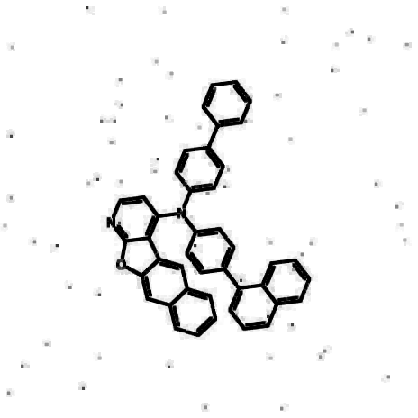 c1ccc(-c2ccc(N(c3ccc(-c4cccc5ccccc45)cc3)c3ccnc4oc5cc6ccccc6cc5c34)cc2)cc1